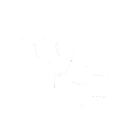 CCCC1CCCCN1n1ccnc1C(C)(O)c1ccc(Cl)cc1